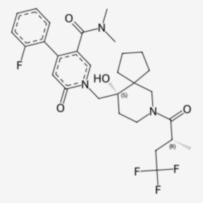 C[C@H](CC(F)(F)F)C(=O)N1CC[C@@](O)(Cn2cc(C(=O)N(C)C)c(-c3ccccc3F)cc2=O)C2(CCCC2)C1